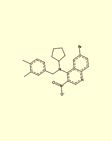 Cc1ccc(CN(c2c([N+](=O)[O-])cnc3ccc(Br)cc23)C2CCCC2)cc1C